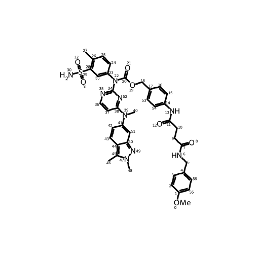 COc1ccc(CNC(=O)CCC(=O)Nc2ccc(COC(=O)N(c3ccc(C)c(S(N)(=O)=O)c3)c3nccc(N(C)c4ccc5c(C)n(C)nc5c4)n3)cc2)cc1